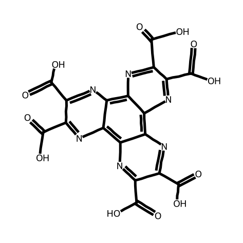 O=C(O)c1nc2c3nc(C(=O)O)c(C(=O)O)nc3c3nc(C(=O)O)c(C(=O)O)nc3c2nc1C(=O)O